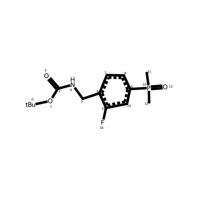 CC(C)(C)OC(=O)NCc1ccc(P(C)(C)=O)cc1F